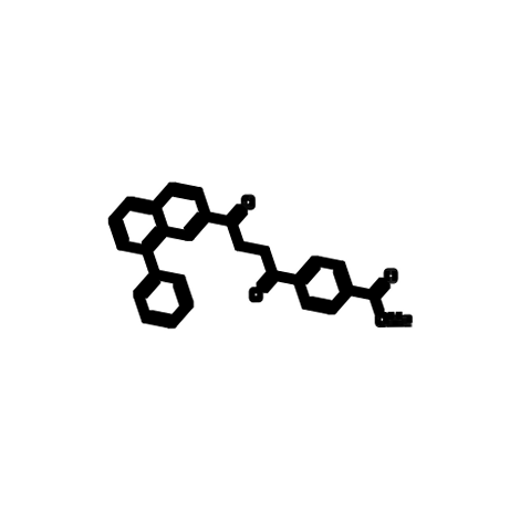 COC(=O)c1ccc(C(=O)CCC(=O)c2ccc3cccc(-c4ccccc4)c3c2)cc1